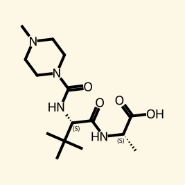 C[C@H](NC(=O)[C@@H](NC(=O)N1CCN(C)CC1)C(C)(C)C)C(=O)O